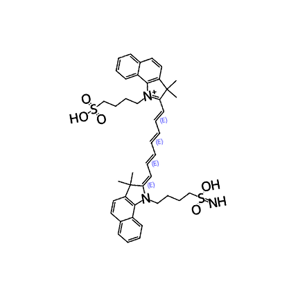 CC1(C)C(/C=C/C=C/C=C/C=C2/N(CCCCS(=N)(=O)O)c3c(ccc4ccccc34)C2(C)C)=[N+](CCCCS(=O)(=O)O)c2c1ccc1ccccc21